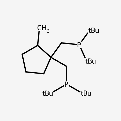 CC1CCCC1(CP(C(C)(C)C)C(C)(C)C)CP(C(C)(C)C)C(C)(C)C